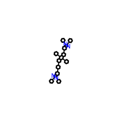 c1ccc(-c2c3ccc(-c4ccc5c(c4)nc(-c4ccccc4)n5-c4ccccc4)cc3c(-c3ccccc3)c3ccc(-c4ccc(-c5ccc6c(c5)nc(-c5ccccc5)n6-c5ccccc5)cc4)cc23)cc1